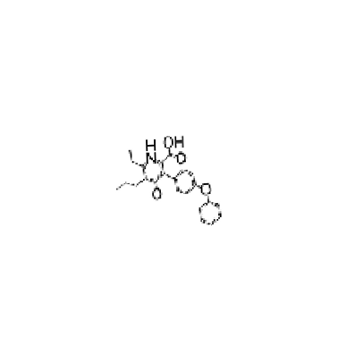 CCCc1c(CC)[nH]c(C(=O)O)c(-c2ccc(Oc3ccccc3)cc2)c1=O